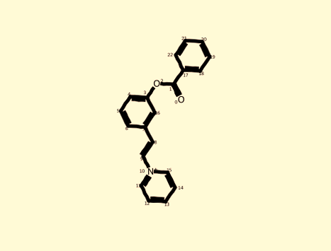 O=C(Oc1cccc(C=C[n+]2ccccc2)c1)c1ccccc1